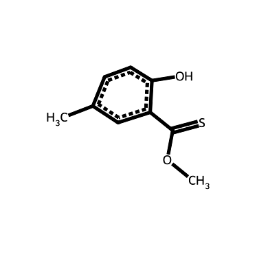 COC(=S)c1cc(C)ccc1O